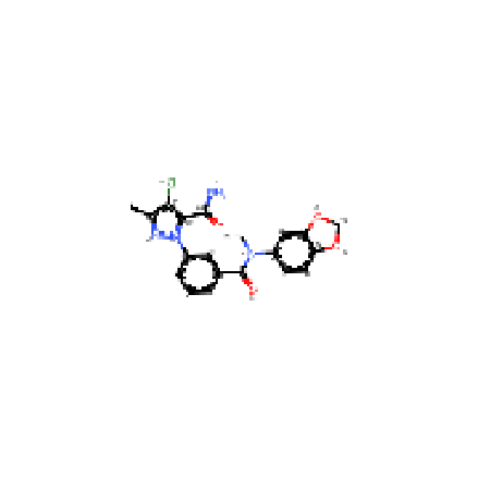 Cc1nn(-c2cccc(C(=O)N(C)c3ccc4c(c3)OCO4)c2)c(C(N)=O)c1Cl